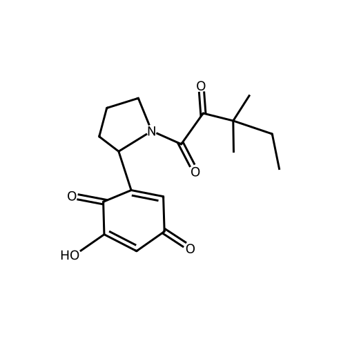 CCC(C)(C)C(=O)C(=O)N1CCCC1C1=CC(=O)C=C(O)C1=O